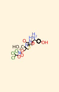 NC(C(=O)NC1C(=O)N2C(C(=O)O)=C(COC(=O)N(Cl)C(=O)C(Cl)Cl)CS[C@@H]12)c1ccc(O)cc1